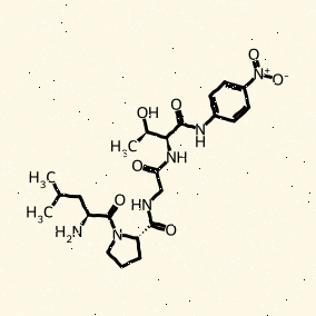 CC(C)C[C@H](N)C(=O)N1CCC[C@H]1C(=O)NCC(=O)N[C@H](C(=O)Nc1ccc([N+](=O)[O-])cc1)[C@@H](C)O